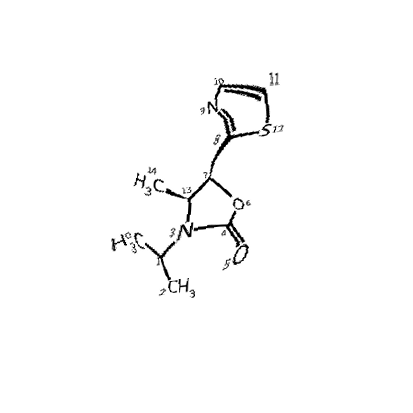 CC(C)N1C(=O)O[C@H](c2nccs2)[C@@H]1C